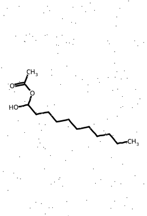 CCCCCCCCCCC(O)OC(C)=O